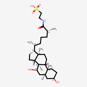 C[C@H](CCC[C@@H](C)[C@H]1CC[C@H]2[C@@H]3[C@H](O)C[C@@H]4C[C@H](O)CC[C@]4(C)[C@H]3CC[C@]12C)C(=O)NCCS(=O)(=O)O